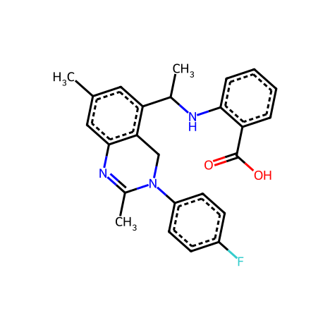 CC1=Nc2cc(C)cc(C(C)Nc3ccccc3C(=O)O)c2CN1c1ccc(F)cc1